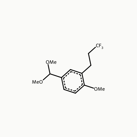 COc1ccc(C(OC)OC)cc1CCC(F)(F)F